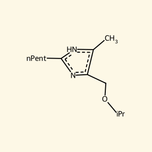 CCCCCc1nc(COC(C)C)c(C)[nH]1